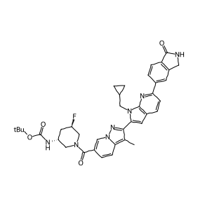 Cc1c(-c2cc3ccc(-c4ccc5c(c4)CNC5=O)nc3n2CC2CC2)nn2cc(C(=O)N3C[C@H](F)C[C@@H](NC(=O)OC(C)(C)C)C3)ccc12